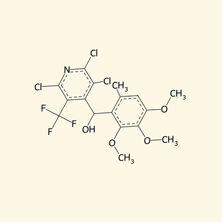 COc1cc(C)c(C(O)c2c(Cl)c(Cl)nc(Cl)c2C(F)(F)F)c(OC)c1OC